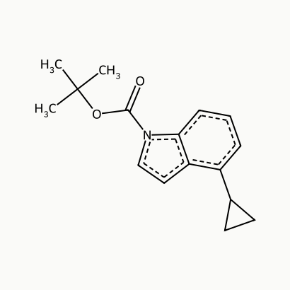 CC(C)(C)OC(=O)n1ccc2c(C3CC3)cccc21